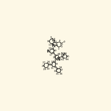 Cc1ccc2c(c1)c1ncccc1n2-c1cncc(-c2cc(-c3cc(-c4ccccc4)cc(-c4ccccc4)c3)nc(-c3ccccn3)c2)c1